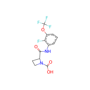 O=C(Nc1cccc(OC(F)(F)F)c1F)C1CCN1C(=O)O